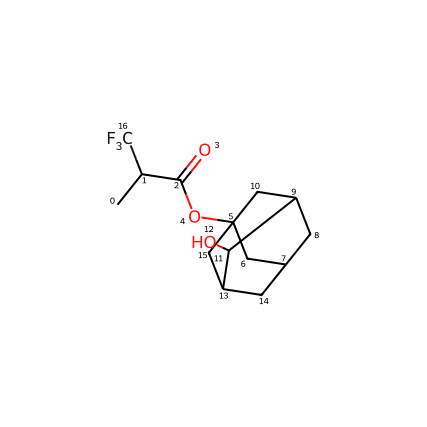 CC(C(=O)OC12CC3CC(C1)C(O)C(C3)C2)C(F)(F)F